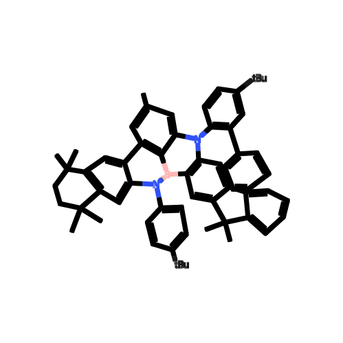 Cc1cc2c3c(c1)N(c1ccc(C(C)(C)C)cc1-c1ccccc1)c1cc4c(cc1B3N(c1ccc(C(C)(C)C)cc1)c1cc3c(cc1-2)C(C)(C)CCC3(C)C)C(C)(C)c1ccccc1-4